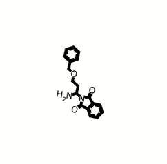 NC(CCOCc1ccccc1)N1C(=O)c2ccccc2C1=O